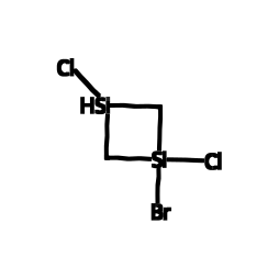 Cl[SiH]1C[Si](Cl)(Br)C1